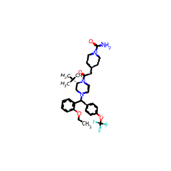 CCOc1ccccc1C(c1ccc(OC(F)(F)F)cc1)N1CCN(C(=O)CC2CCN(C(N)=O)CC2)[C@@H](C(C)(C)C)C1